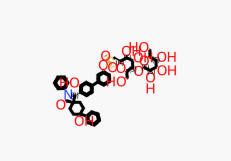 O=C1N(c2ccccc2)[C@H](c2ccc(-c3cccc(OS(=O)(=O)C[C@@H]4OC(CO)[C@@H](O[C@@H]5OC(CO)[C@@H](O)C(O)[C@@H]5O)C(O)[C@@H]4O)c3)cc2O)C12CCC(O)(c1ccccc1)CC2